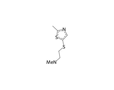 CNCCSc1cnc(C)s1